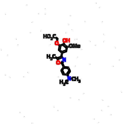 COc1cc(-c2nc(-c3ccc(N(C)C)cc3)oc2C)cc(OCC(=O)O)c1O